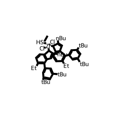 CCCCC1=Cc2c(ccc(CC)c2-c2cc(C(C)(C)C)cc(C(C)(C)C)c2)[CH]1[Zr]([Cl])([Cl])([CH]1C(CCCC)=Cc2c1ccc(CC)c2-c1cc(C(C)(C)C)cc(C(C)(C)C)c1)[SiH](C)C